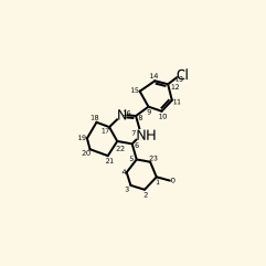 CC1CCCC(C2NC(C3C=CC(Cl)=CC3)=NC3CCCCC32)C1